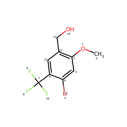 COc1cc(Br)c(C(F)(F)F)cc1CO